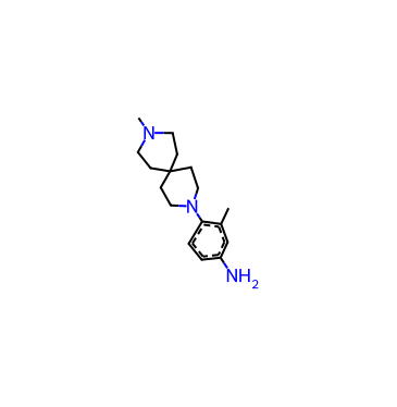 Cc1cc(N)ccc1N1CCC2(CCN(C)CC2)CC1